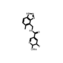 COC1N=CC(C(=O)NCc2c(C)ccc3[nH]nnc23)=CC1F